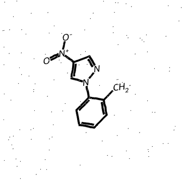 [CH2]c1ccccc1-n1cc([N+](=O)[O-])cn1